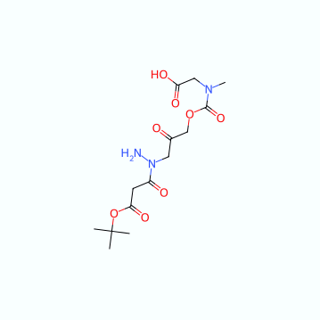 CN(CC(=O)O)C(=O)OCC(=O)CN(N)C(=O)CC(=O)OC(C)(C)C